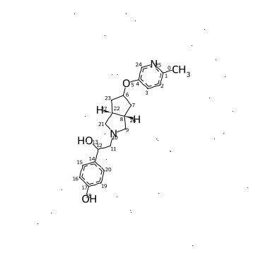 Cc1ccc(OC2C[C@@H]3CN(CC(O)c4ccc(O)cc4)C[C@@H]3C2)cn1